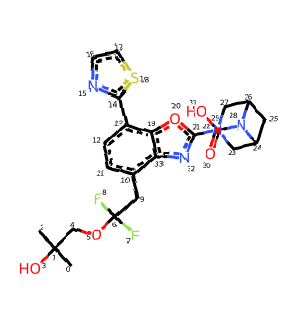 CC(C)(O)COC(F)(F)Cc1ccc(-c2nccs2)c2oc(N3CC4CC(C3)N4C(=O)O)nc12